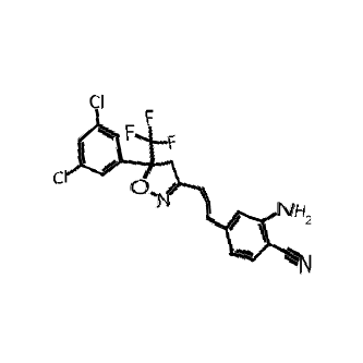 N#Cc1ccc(/C=C/C2=NOC(c3cc(Cl)cc(Cl)c3)(C(F)(F)F)C2)cc1N